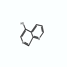 Sc1cncc2ncccc12